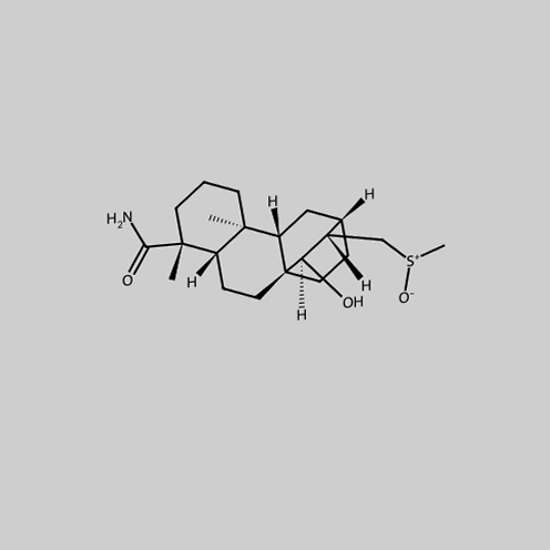 C[S+]([O-])C[C@H]1[C@H]2CC[C@@]3(CC[C@H]4[C@@](C)(CCC[C@@]4(C)C(N)=O)[C@@H]3C2)[C@@H]1O